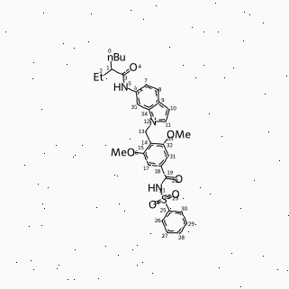 CCCCC(CC)C(=O)Nc1ccc2ccn(Cc3c(OC)cc(C(=O)NS(=O)(=O)c4ccccc4)cc3OC)c2c1